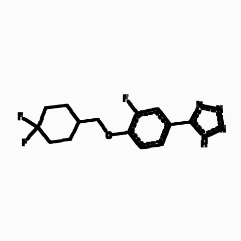 Fc1cc(-c2nnn[nH]2)ccc1OCC1CCC(F)(F)CC1